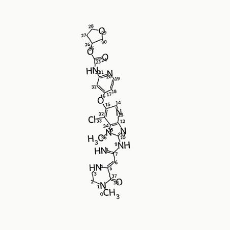 CN1CCN/C(=C\C(=N)Nc2nc3ncc(Oc4ccnc(NC(=O)O[C@H]5CCOC5)c4)c(Cl)c3n2C)C1=O